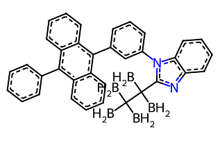 BC(B)(B)C(B)(B)c1nc2ccccc2n1-c1cccc(-c2c3ccccc3c(-c3ccccc3)c3ccccc23)c1